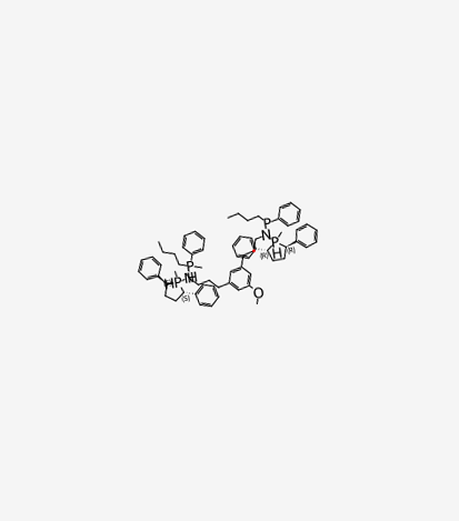 CCCCP(c1ccccc1)N(CCCc1cc(CCCN([PH](C)(CCCC)c2ccccc2)[PH]2(C)[C@H](c3ccccc3)CC[C@H]2c2ccccc2)cc(OC)c1)[PH]1(C)[C@@H](c2ccccc2)CC[C@@H]1c1ccccc1